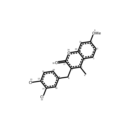 COc1ccc2c(C)c(Cc3ccc(Cl)c(Cl)c3)c(=O)oc2c1